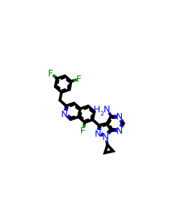 Nc1ncnc2c1c(-c1ccc3cc(Cc4cc(F)cc(F)c4)ncc3c1F)nn2C1CC1